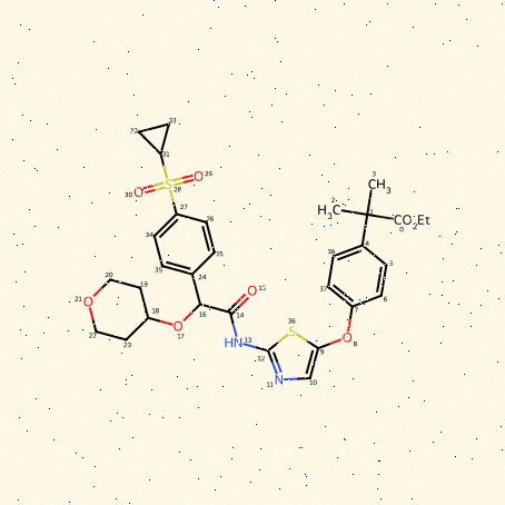 CCOC(=O)C(C)(C)c1ccc(Oc2cnc(NC(=O)C(OC3CCOCC3)c3ccc(S(=O)(=O)C4CC4)cc3)s2)cc1